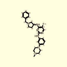 CN1CCN(c2cccc(Nc3ncc(F)c(NC4CCN(Cc5ccccc5)C4)n3)c2)CC1